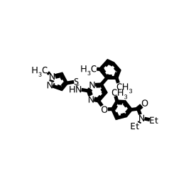 CCN(CC)C(=O)c1ccc(Oc2cc(-c3c(C)cccc3C)nc(NSc3cnn(C)c3)n2)c(C)c1